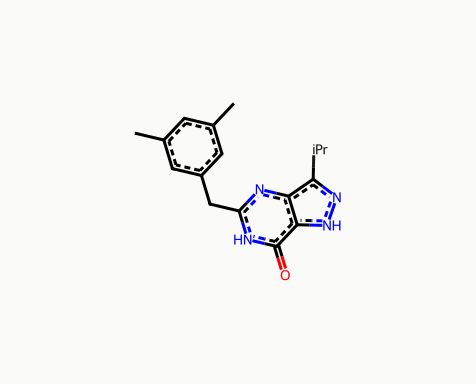 Cc1cc(C)cc(Cc2nc3c(C(C)C)n[nH]c3c(=O)[nH]2)c1